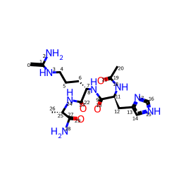 C=C(N)NCCC[C@H](NC(=O)[C@H](Cc1c[nH]cn1)NC(C)=O)C(=O)N[C@@H](C)C(N)=O